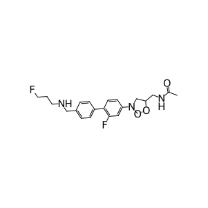 CC(=O)NCC1CN(c2ccc(-c3ccc(CNCCCF)cc3)c(F)c2)OO1